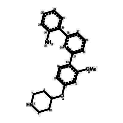 COc1cc(OC2CCNCC2)ccc1-c1cccc(-c2ccccc2N)n1